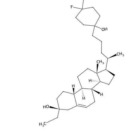 CC[C@]1(O)CC[C@H]2C(=CC[C@@H]3[C@@H]2CC[C@]2(C)[C@@H]([C@H](C)CCCC4(O)CCC(F)(F)CC4)CC[C@@H]32)C1